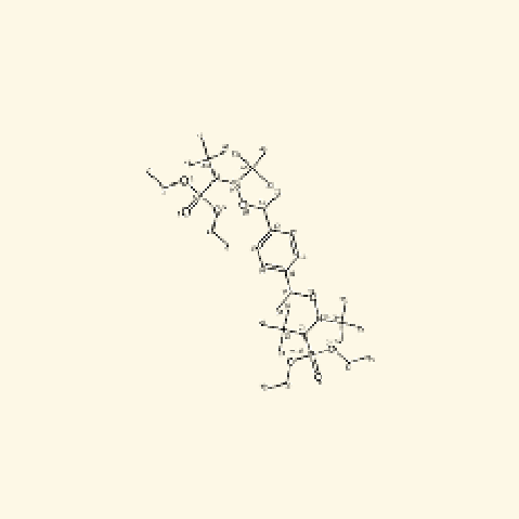 CCOP(=O)(OCC)C(N(OC(C)c1ccc(C(C)ON(C(C(C)(C)C)P(=O)(OCC)OCC)C(C)(C)C)cc1)C(C)(C)C)C(C)(C)C